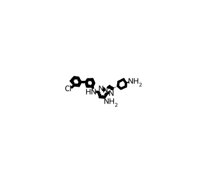 Nc1cc(Nc2cccc(-c3cccc(Cl)c3)c2)nn2cc([C@H]3CC[C@H](N)CC3)nc12